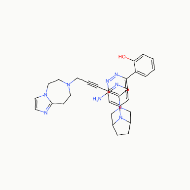 Nc1nnc(-c2ccccc2O)cc1N1CC2CCC(C1)N2c1ccnc(C#CCN2CCc3nccn3CC2)c1